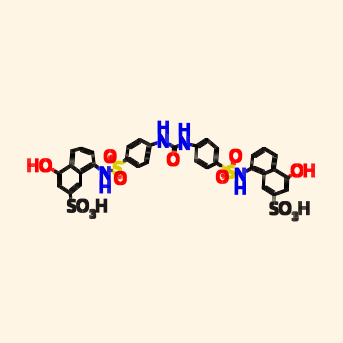 O=C(Nc1ccc(S(=O)(=O)Nc2cccc3c(O)cc(S(=O)(=O)O)cc23)cc1)Nc1ccc(S(=O)(=O)Nc2cccc3c(O)cc(S(=O)(=O)O)cc23)cc1